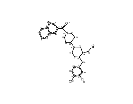 O=C(c1cnc2ccccc2c1)N1CCC(N2CCC(Cc3ccc(Cl)c(Cl)c3)[C@H](CO)C2)CC1